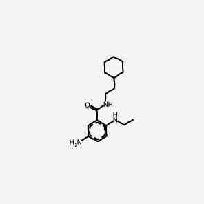 CCNc1ccc(N)cc1C(=O)NCCC1CCCCC1